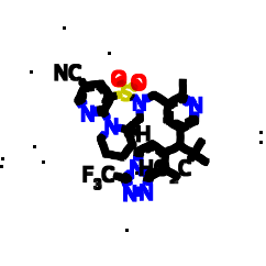 Cc1ncc(C(c2ccn3c(C(F)(F)F)nnc3c2C)C(C)(C)C(=O)O)cc1CN1C[C@@H]2CCCCN2c2ncc(C#N)cc2S1(=O)=O